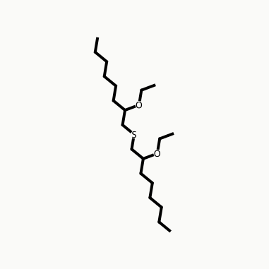 CCCCCCC(CSCC(CCCCCC)OCC)OCC